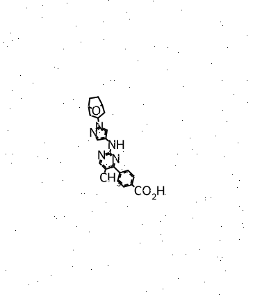 Cc1cnc(Nc2cnn(C3CC4CCC(C3)O4)c2)nc1-c1ccc(C(=O)O)cc1